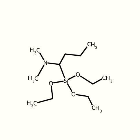 CCCC(N(C)C)[Si](OCC)(OCC)OCC